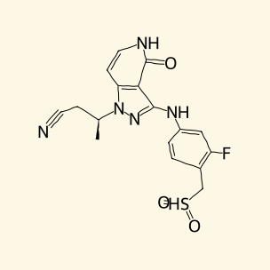 C[C@@H](CC#N)n1nc(Nc2ccc(C[SH](=O)=O)c(F)c2)c2c(=O)[nH]ccc21